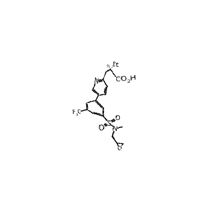 CC[C@@H](Cc1ccc(-c2cc(C(F)(F)F)cc(S(=O)(=O)N(C)CC3CO3)c2)cn1)C(=O)O